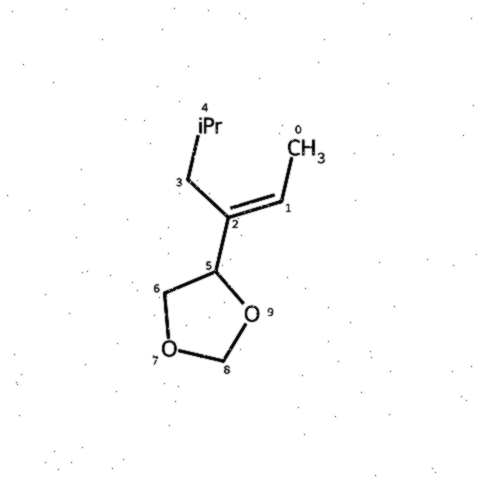 CC=C(CC(C)C)C1COCO1